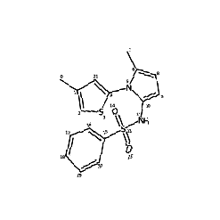 Cc1csc(-n2c(C)ccc2NS(=O)(=O)c2ccccc2)c1